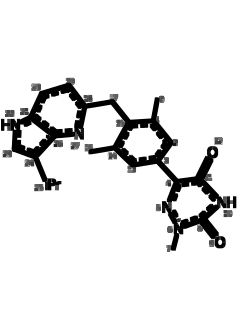 Cc1cc(-c2nn(C)c(=O)[nH]c2=O)cc(C)c1Cc1ccc2[nH]cc(C(C)C)c2n1